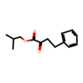 CC(C)COC(=O)C(=O)CCc1ccccc1